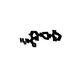 NC(=O)c1[c]ccc(N2CCN(c3ncccn3)CC2)n1